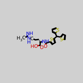 CC(=N)NCCC[C@H](NC(=O)c1ccc(C(c2cccs2)c2cccs2)s1)C(=O)O